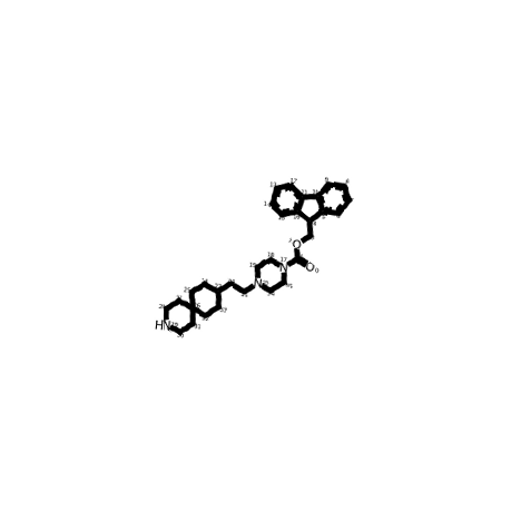 O=C(OCC1c2ccccc2-c2ccccc21)N1CCN(CCC2CCC3(CCNCC3)CC2)CC1